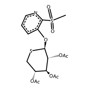 CC(=O)O[C@@H]1[C@@H](OC(C)=O)[C@H](OC(C)=O)CS[C@H]1Oc1cccnc1S(C)(=O)=O